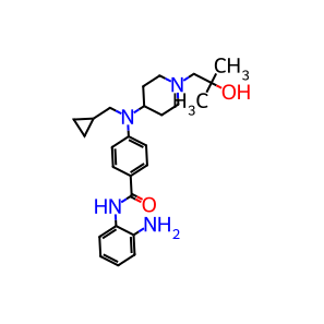 CC(C)(O)CN1CCC(N(CC2CC2)c2ccc(C(=O)Nc3ccccc3N)cc2)CC1